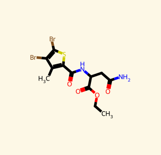 CCOC(=O)C(CC(N)=O)NC(=O)c1sc(Br)c(Br)c1C